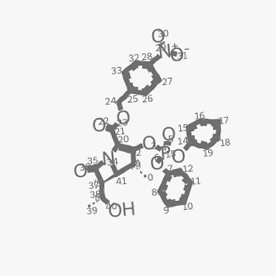 C[C@H]1C(OP(=O)(Oc2ccccc2)Oc2ccccc2)=C(C(=O)OCc2ccc([N+](=O)[O-])cc2)N2C(=O)[C@H]([C@@H](C)O)C12